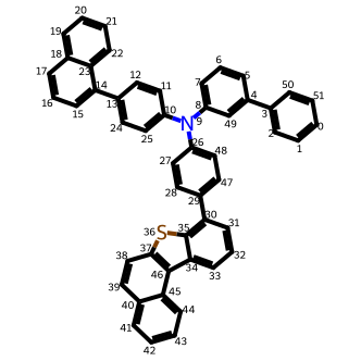 c1ccc(-c2cccc(N(c3ccc(-c4cccc5ccccc45)cc3)c3ccc(-c4cccc5c4sc4ccc6ccccc6c45)cc3)c2)cc1